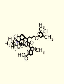 CC(=N)/C(=C(/C)NN)c1c(Cl)ccc2c(CCCOc3cc(C)c(Cl)c(C)c3)c3n(c12)[C@H](C)CN(c1cn(C)c2ccc(C(=O)O)nc12)C3=O